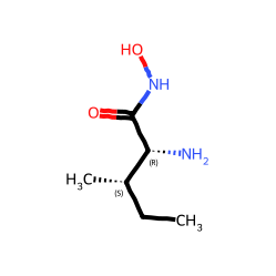 CC[C@H](C)[C@@H](N)C(=O)NO